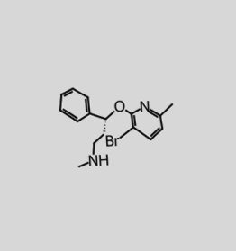 CNCC[C@@H](Oc1nc(C)ccc1Br)c1ccccc1